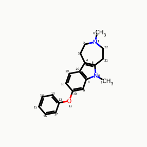 CN1CCc2c(n(C)c3cc(Oc4ccccc4)ccc23)CC1